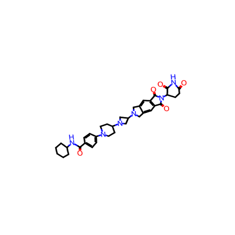 O=C1CCC(N2C(=O)c3cc4c(cc3C2=O)CN(C2CN(C3CCN(c5ccc(C(=O)NC6CCCCC6)cc5)CC3)C2)C4)C(=O)N1